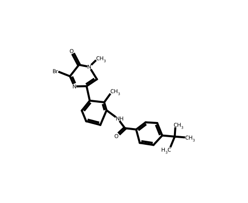 Cc1c(NC(=O)c2ccc(C(C)(C)C)cc2)cccc1-c1cn(C)c(=O)c(Br)n1